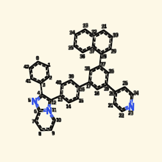 c1ccc(-c2nc3ccccn3c2-c2ccc(-c3cc(-c4ccncc4)cc(-c4cccc5ccccc45)c3)cc2)cc1